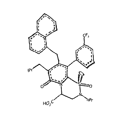 CCCN1CC(C(=O)O)n2c(c(-c3cccc(C(F)(F)F)c3)c(Cc3cccc4ccccc34)c(CC(C)C)c2=O)S1(=O)=O